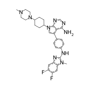 CN1CCN(C2CCC(n3cc(-c4ccc(Nc5nc6cc(F)c(F)cc6n5C)cc4)c4c(N)ncnc43)CC2)CC1